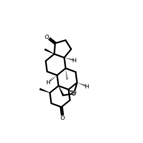 C[C@@H]1CC(=O)C[C@]2(Br)[C@H]3C[C@@]4(C)[C@H](CC[C@]5(C)C(=O)CC[C@@H]45)[C@@]12CO3